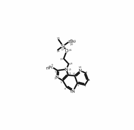 CCCc1nc2cnc3cccnc3c2n1CCO[Si](C)(C)C(C)(C)C